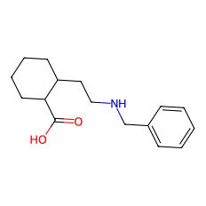 O=C(O)C1CCCCC1CCNCc1ccccc1